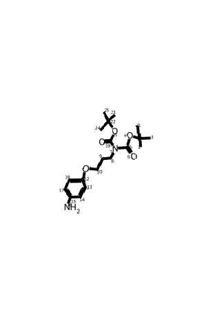 CC(C)(C)OC(=O)N(CCCOc1ccc(N)cc1)C(=O)OC(C)(C)C